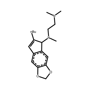 CCCCC1=Cc2cc3c(cc2C1N(C)CCN(C)C)OCO3